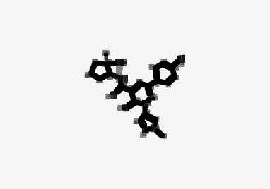 Cn1cc(-n2nc(-c3ccc(Cl)cc3)cc(C(=O)N[C@H]3CCC[C@@]3(C)O)c2=O)cn1